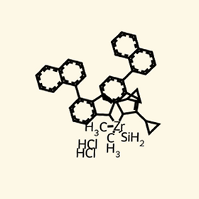 Cl.Cl.[CH3][Zr]([CH3])(=[SiH2])([CH]1C(C2CC2)=Cc2c(-c3cccc4ccccc34)cccc21)[CH]1C(C2CC2)=Cc2c(-c3cccc4ccccc34)cccc21